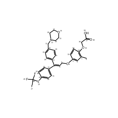 Cc1cc(OC/C=C(\c2ccc(CN3CCOCC3)cc2)c2ccc(SC(F)(F)F)cc2)ccc1OCC(=O)O